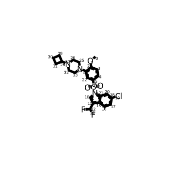 COc1ccc(S(=O)(=O)n2cc(C(F)F)c3ccc(Cl)cc32)cc1N1CCN(C2CCC2)CC1